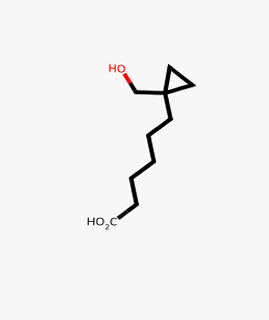 O=C(O)CCCCCC1(CO)CC1